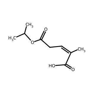 CC(=CCC(=O)OC(C)C)C(=O)O